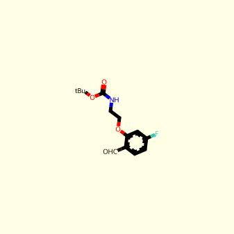 CC(C)(C)OC(=O)NCCOc1cc(F)ccc1C=O